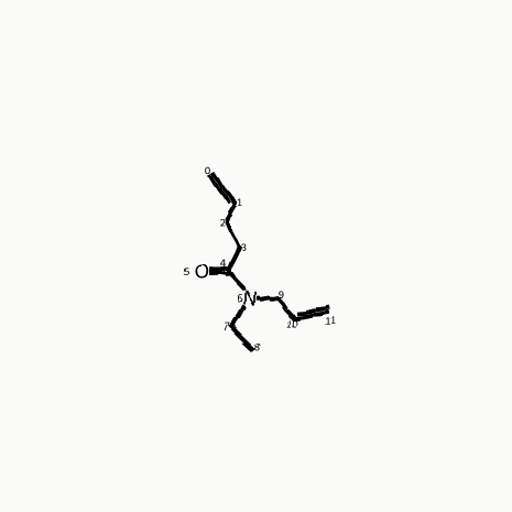 C=CCCC(=O)N(CC)CC=C